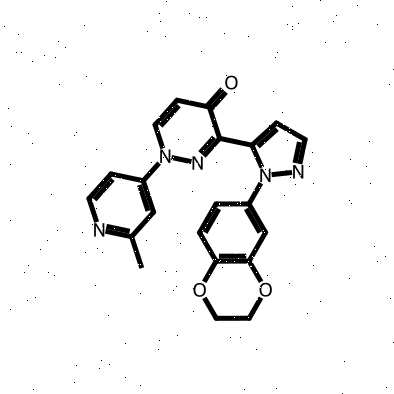 Cc1cc(-n2ccc(=O)c(-c3ccnn3-c3ccc4c(c3)OCCO4)n2)ccn1